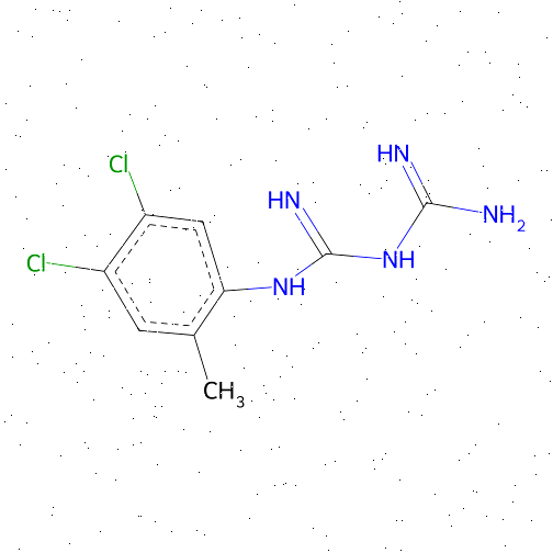 Cc1cc(Cl)c(Cl)cc1NC(=N)NC(=N)N